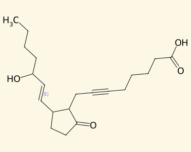 CCCCC(O)/C=C/C1CCC(=O)C1CC#CCCCCC(=O)O